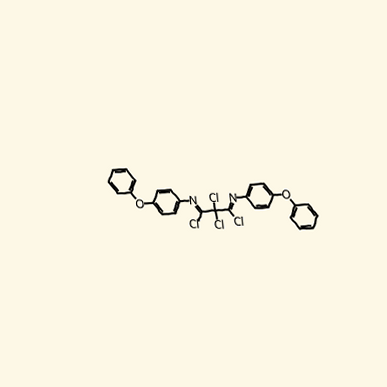 Cl/C(=N\c1ccc(Oc2ccccc2)cc1)C(Cl)(Cl)/C(Cl)=N/c1ccc(Oc2ccccc2)cc1